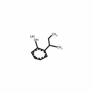 CCC(C)c1ccccc1O.[LiH]